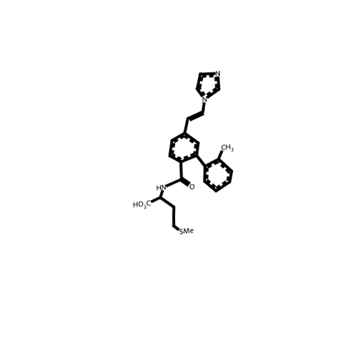 CSCCC(NC(=O)c1ccc(C=Cn2ccnc2)cc1-c1ccccc1C)C(=O)O